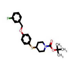 CC(C)(C)OC(=O)N1CCC(Sc2ccc(OCc3cccc(F)c3)cc2)CC1